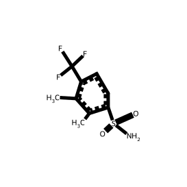 Cc1c(C(F)(F)F)ccc(S(N)(=O)=O)c1C